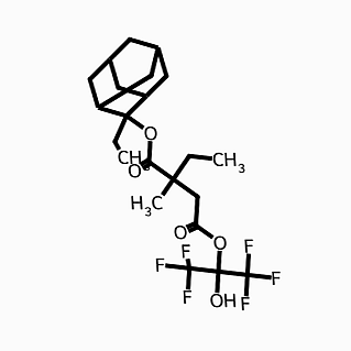 CCC(C)(CC(=O)OC(O)(C(F)(F)F)C(F)(F)F)C(=O)OC1(CC)C2CC3CC(C2)CC1C3